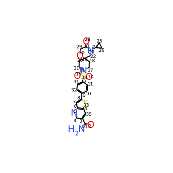 NC(=O)c1cnc2cc(-c3ccc(S(=O)(=O)N4CCC5(CC4)CN(C4CC4)C(=O)CO5)cc3)sc2c1